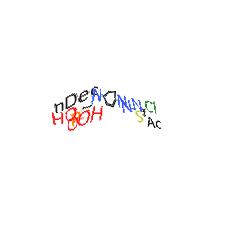 CCCCCCCCCCN(CCP(=O)(O)O)c1ccc(/N=N/c2nc(Cl)c(C(C)=O)s2)cc1